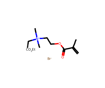 C=C(C)C(=O)OCC[N+](C)(C)CC(=O)OCC.[Br-]